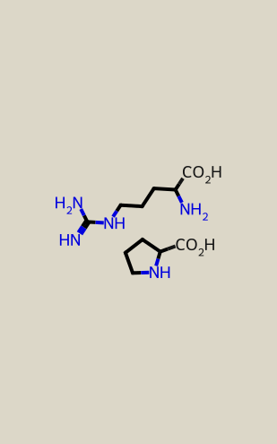 N=C(N)NCCCC(N)C(=O)O.O=C(O)C1CCCN1